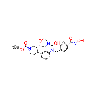 CC(C)(C)OC(=O)N1CCC(c2cccc(N(Cc3ccc(C(=O)NO)cc3)C(O)N3CCOCC3)c2)CC1